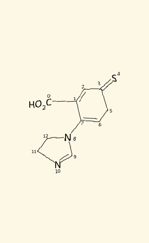 O=C(O)C1=CC(=S)CC=C1N1C=NCC1